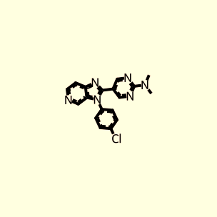 CN(C)c1ncc(-c2nc3ccncc3n2-c2ccc(Cl)cc2)cn1